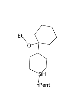 CCCCC[SiH]1CCC(C2(OCC)CCCCC2)CC1